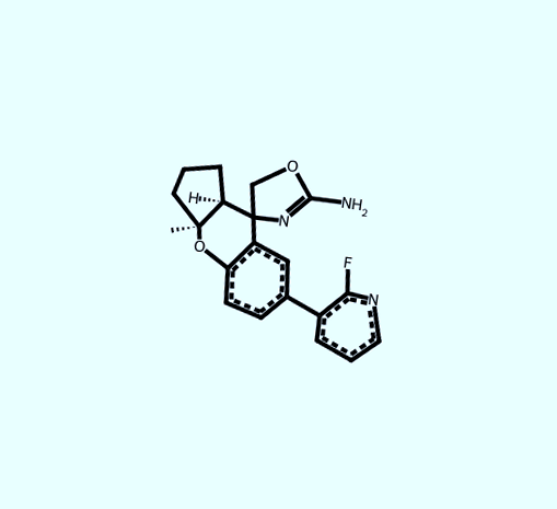 C[C@]12CCC[C@H]1C1(COC(N)=N1)c1cc(-c3cccnc3F)ccc1O2